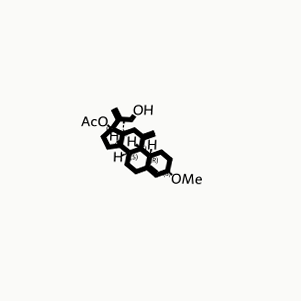 C=C1C[C@@]2(C)[C@@H](CC[C@@]2(OC(C)=O)C(=C)CO)[C@@H]2CCC3=C[C@@H](OC)CC[C@@H]3[C@@H]12